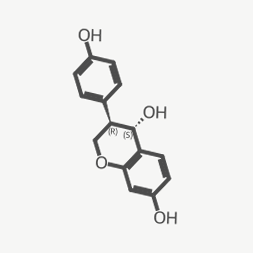 Oc1ccc([C@@H]2COc3cc(O)ccc3[C@H]2O)cc1